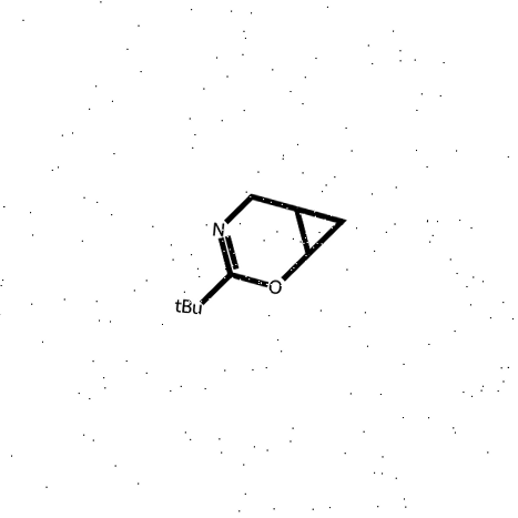 CC(C)(C)C1=NCC2CC2O1